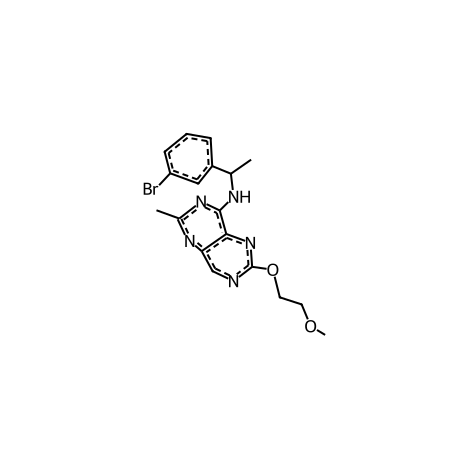 COCCOc1ncc2nc(C)nc(NC(C)c3cccc(Br)c3)c2n1